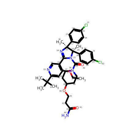 CCOc1cc(C(C)(C)C)ncc1C1=N[C@@](C)(c2ccc(Cl)cc2)[C@@](C)(c2ccc(Cl)cc2)N1C(=O)N1CCC(OCCC(N)=O)CC1